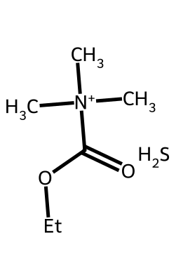 CCOC(=O)[N+](C)(C)C.S